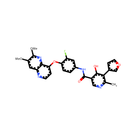 COc1cc2nccc(Oc3ccc(NC(=O)c4cnc(C)c(-c5ccoc5)c4O)cc3F)c2nc1OC